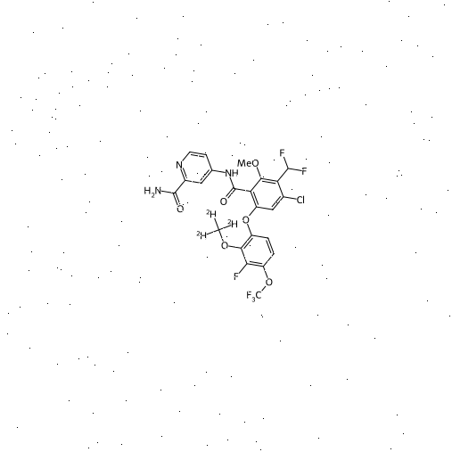 [2H]C([2H])([2H])Oc1c(Oc2cc(Cl)c(C(F)F)c(OC)c2C(=O)Nc2ccnc(C(N)=O)c2)ccc(OC(F)(F)F)c1F